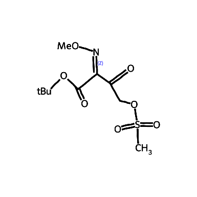 CO/N=C(/C(=O)COS(C)(=O)=O)C(=O)OC(C)(C)C